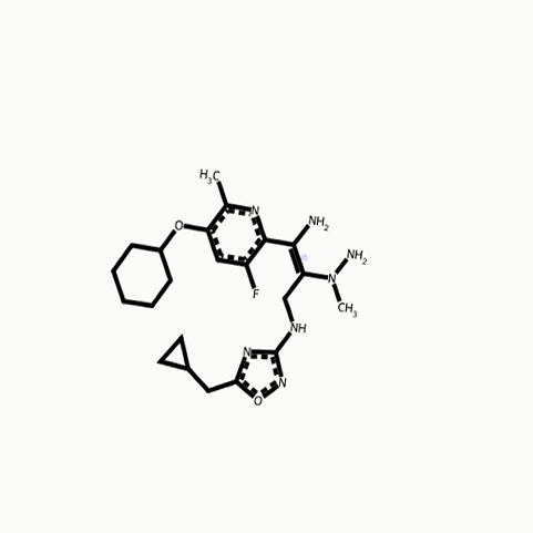 Cc1nc(/C(N)=C(\CNc2noc(CC3CC3)n2)N(C)N)c(F)cc1OC1CCCCC1